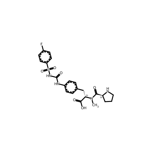 CN(C(=O)[C@@H]1CCCN1)[C@@H](Cc1ccc(NC(=O)NS(=O)(=O)c2ccc(F)cc2)cc1)C(=O)O